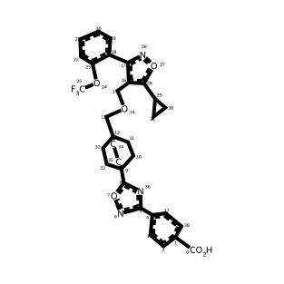 O=C(O)c1ccc(-c2noc(C34CCC(COCc5c(-c6ccccc6OC(F)(F)F)noc5C5CC5)(CC3)CC4)n2)cc1